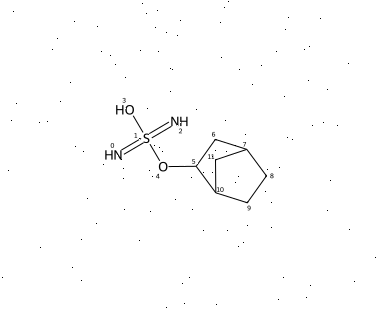 N=S(=N)(O)OC1CC2CCC1C2